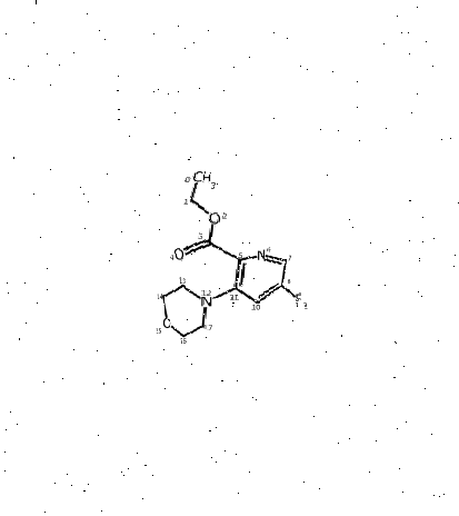 CCOC(=O)c1ncc(F)cc1N1CCOCC1